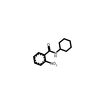 O=C(NC1CCCCC1)c1ccccc1[N+](=O)[O-]